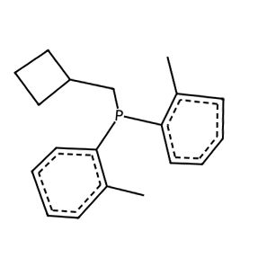 Cc1ccccc1P(CC1CCC1)c1ccccc1C